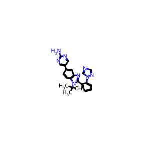 CC(C)(C)n1c(-c2ccccc2-n2cncn2)nc2cc(-c3cnc(N)nc3)ccc21